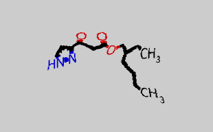 CCCCC(CC)COC(=O)CC(=O)c1cc[nH]n1